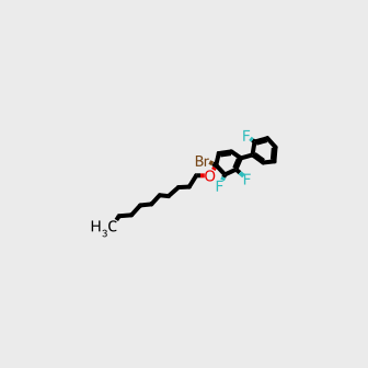 CCCCCCCCCCOC1(Br)C=CC(c2ccccc2F)=C(F)C1F